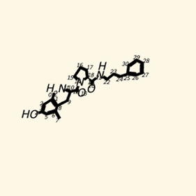 Cc1cc(O)cc(C)c1CC(N)C(=O)N1CCC[C@H]1C(=O)NCCCc1ccccc1